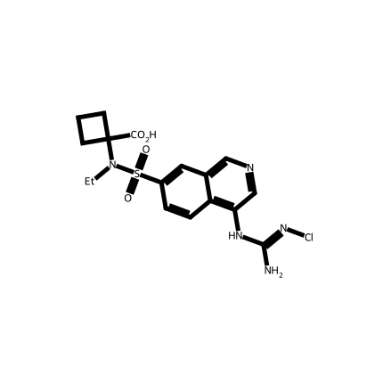 CCN(C1(C(=O)O)CCC1)S(=O)(=O)c1ccc2c(NC(N)=NCl)cncc2c1